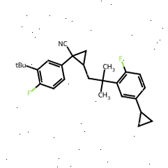 CC(C)(C)c1cc(C2(C#N)CC2CC(C)(C)c2cc(C3CC3)ccc2F)ccc1F